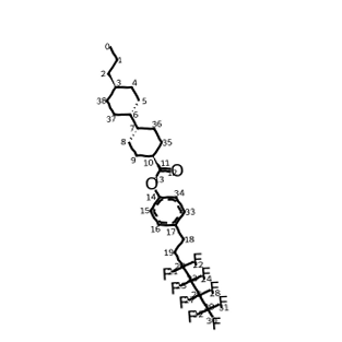 CCC[C@H]1CC[C@H]([C@H]2CC[C@H](C(=O)Oc3ccc(CCC(F)(F)C(F)(F)C(F)(F)C(F)(F)F)cc3)CC2)CC1